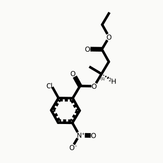 [2H][C@](C)(CC(=O)OCC)OC(=O)c1cc([N+](=O)[O-])ccc1Cl